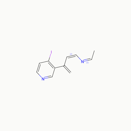 C=C(/C=C\N=C/C)c1cnccc1I